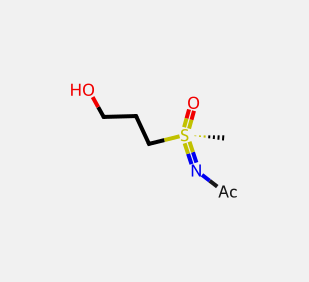 CC(=O)N=[S@](C)(=O)CCCO